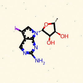 C[C@H]1O[C@@H](n2cc(I)c3cnc(N)nc32)[C@H](O)[C@@H]1O